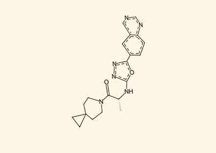 C[C@@H](Nc1nnc(-c2ccc3ncncc3c2)o1)C(=O)N1CCC2(CC1)CC2